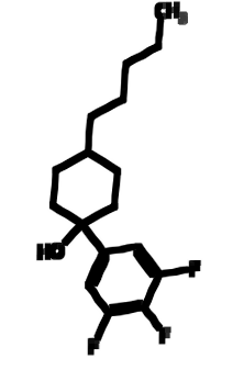 CCCCCC1CCC(O)(c2cc(F)c(F)c(F)c2)CC1